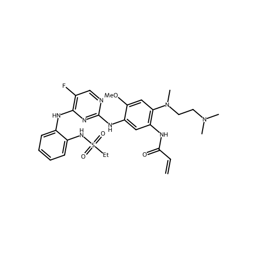 C=CC(=O)Nc1cc(Nc2ncc(F)c(Nc3ccccc3NS(=O)(=O)CC)n2)c(OC)cc1N(C)CCN(C)C